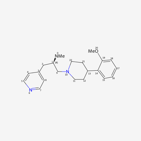 CN[C@H](Cc1ccncc1)CN1CCC(c2ccccc2OC)CC1